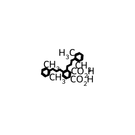 Cc1cccc(C)c1CCCc1ccc(C(=O)O)c(C(=O)O)c1CCCc1c(C)cccc1C